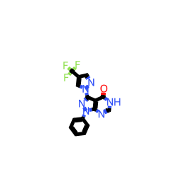 O=c1[nH]cnc2c1c(-n1cc(C(F)(F)F)cn1)nn2-c1ccccc1